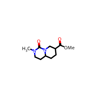 COC(=O)C1CCC2CCN(C)C(=O)N2C1